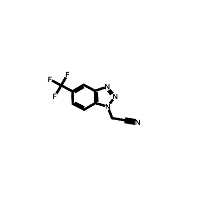 N#CCn1nnc2cc(C(F)(F)F)ccc21